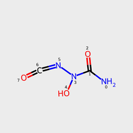 NC(=O)N(O)N=C=O